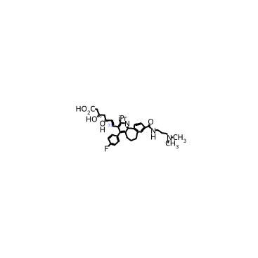 CC(C)c1nc2c(c(-c3ccc(F)cc3)c1/C=C/[C@@H](O)C[C@@H](O)CC(=O)O)CCCc1cc(C(=O)NCCCN(C)C)ccc1-2